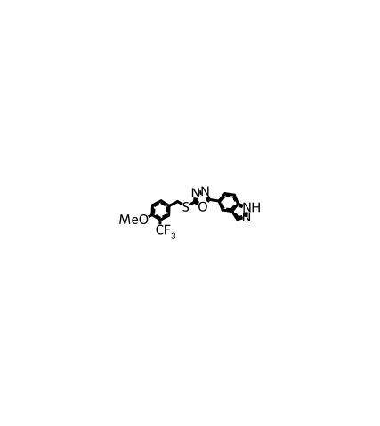 COc1ccc(CSc2nnc(-c3ccc4[nH]ncc4c3)o2)cc1C(F)(F)F